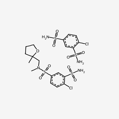 CN(CC1(C)CCCO1)S(=O)(=O)c1ccc(Cl)c(S(N)(=O)=O)c1.NS(=O)(=O)c1ccc(Cl)c(S(N)(=O)=O)c1